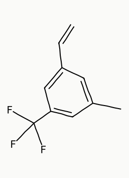 C=Cc1cc(C)cc(C(F)(F)F)c1